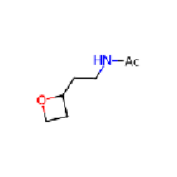 CC(=O)NCCC1CCO1